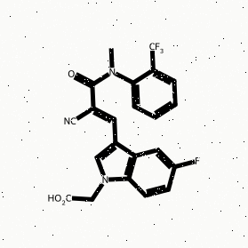 CN(C(=O)/C(C#N)=C/c1cn(CC(=O)O)c2ccc(F)cc12)c1ccccc1C(F)(F)F